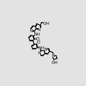 OCc1cnc2c(Nc3cccc(-c4cccc(Nc5nccc6cc(CN7CC[C@H](O)C7)cnc56)c4Cl)c3Cl)nccc2c1